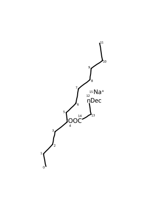 CCCCCCCCCCCC.CCCCCCCCCCCC(=O)[O-].[Na+]